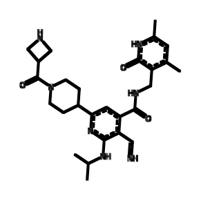 Cc1cc(C)c(CNC(=O)c2cc(C3CCN(C(=O)C4CNC4)CC3)nc(NC(C)C)c2C=N)c(=O)[nH]1